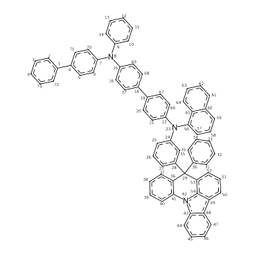 c1ccc(-c2ccc(N(c3ccccc3)c3ccc(-c4ccc(N(c5cccc(C6(c7ccccc7)c7ccccc7-n7c8ccccc8c8cccc6c87)c5)c5cccc6ccccc56)cc4)cc3)cc2)cc1